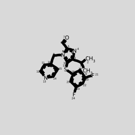 CC(C)c1nc(C=O)n(Cc2ccncc2)c1Sc1cc(F)cc(F)c1